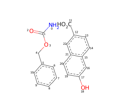 NC(=O)OCc1ccccc1.O=C(O)c1ccc2cc(O)ccc2c1